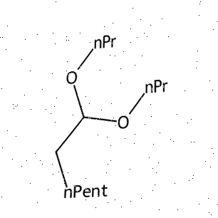 CCCCCCC(OCCC)OCCC